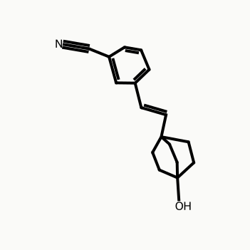 N#Cc1cccc(C=CC23CCC(O)(CC2)CC3)c1